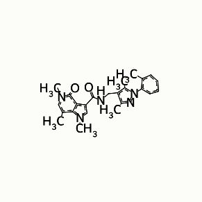 Cc1ccccc1-n1nc(C)c(CNC(=O)c2cn(C)c3c(C)cn(C)c(=O)c23)c1C